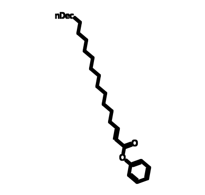 CCCCCCCCCCCCCCCCCCCCCC/C=C/C(=O)Oc1ccccc1